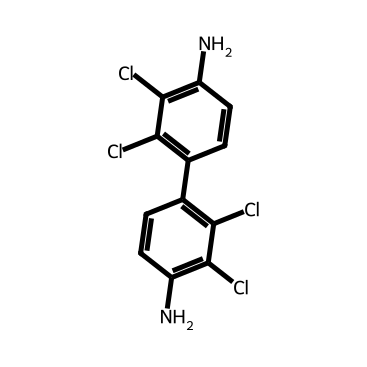 Nc1ccc(-c2ccc(N)c(Cl)c2Cl)c(Cl)c1Cl